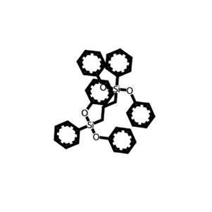 c1ccc(O[Si](CCC[Si](Oc2ccccc2)(Oc2ccccc2)c2ccccc2)(Oc2ccccc2)c2ccccc2)cc1